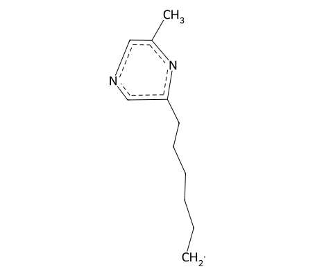 [CH2]CCCCCc1cncc(C)n1